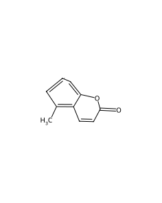 Cc1c[c]cc2oc(=O)ccc12